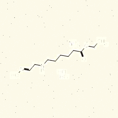 CCOC(=O)[C@@H](N)CCCCNCC=NO.Cl.Cl